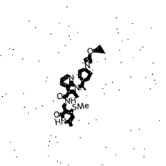 CSc1cc(C)[nH]c(=O)c1CNC(=O)c1c(C)n([C@H](C)C2CCC(N3CC(OC4CC4)C3)CC2)c2ncccc12